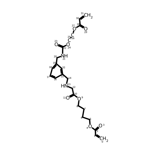 C=CC(=O)OCCCCOC(=O)CNCc1cccc(CNC(=O)OCCOC(=O)C=C)c1